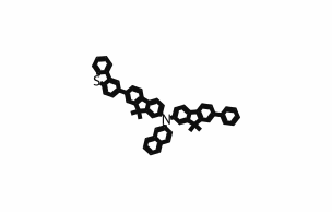 CC1(C)c2cc(-c3ccccc3)ccc2-c2ccc(N(c3ccc4c(c3)C(C)(C)c3cc(-c5ccc6sc7ccccc7c6c5)ccc3-4)c3ccc4ccccc4c3)cc21